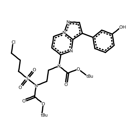 CC(C)(C)OC(=O)N(CCN(C(=O)OC(C)(C)C)S(=O)(=O)CCCCl)c1ccn2ncc(-c3cccc(O)c3)c2n1